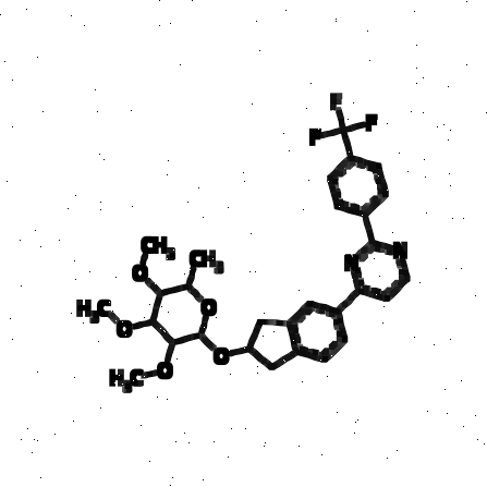 COC1C(C)OC(OC2Cc3ccc(-c4ccnc(-c5ccc(C(F)(F)F)cc5)n4)cc3C2)C(OC)C1OC